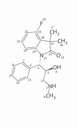 CNC[C@H](O)[C@H](c1ccccc1)N1C(=O)C(C)(C)c2c(F)cccc21